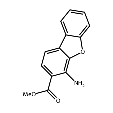 COC(=O)c1ccc2c(oc3ccccc32)c1N